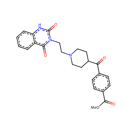 COC(=O)c1ccc(C(=O)C2CCN(CCn3c(=O)[nH]c4ccccc4c3=O)CC2)cc1